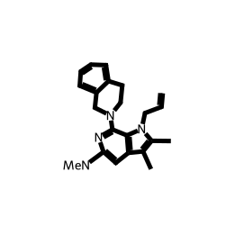 C=CCn1c(C)c(C)c2cc(NC)nc(N3CCc4ccccc4C3)c21